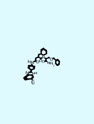 NC(=O)C(COCc1ccccc1)NC(=O)C(CC(=O)Nc1ccc(-c2nc3ccc(Cl)cc3[nH]2)cc1)CC1CCCCC1